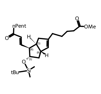 CCCCCC(=O)C=C[C@H]1[C@H]2CC(CCCCC(=O)OC)=C[C@@H]2C[C@@H]1O[Si](C)(C)C(C)(C)C